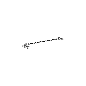 CCCCCCCCCCCCCCCCCCCCCCCCCCCCCCCCCC[C@@H](N=C=O)[Si](Cl)(Cl)Cl